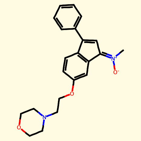 C[N+]([O-])=C1C=C(c2ccccc2)c2ccc(OCCN3CCOCC3)cc21